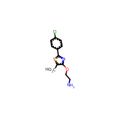 NCCOc1nc(-c2ccc(Cl)cc2)sc1C(=O)O